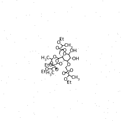 CCOC(C)OC(=O)[C@@]1(CS(=O)(=O)C(C)OCC)O[C@@H](O)[C@H](O)[C@@H](OCS(=O)(=O)C(C)OCC)[C@@H]1OCS(=O)(=O)C(C)OCC